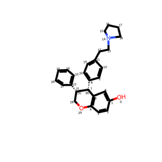 Oc1ccc2c(c1)[C@@H](c1ccc(CCN3CCCC3)cc1)[C@@H](c1ccccc1)CO2